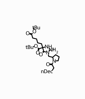 CCCCCCCCCCCC(=O)N1CCCC1CN(N)C(=O)C(N)(CCCCC(=O)OC(C)(C)C)C(=O)OC(C)(C)C